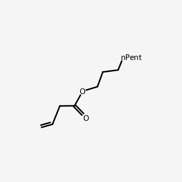 C=CCC(=O)OCCCCCCCC